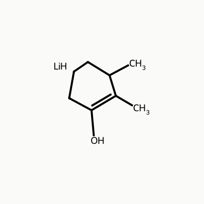 CC1=C(O)CCCC1C.[LiH]